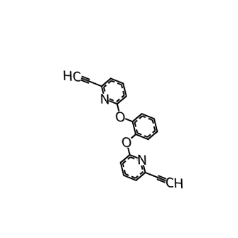 C#Cc1cccc(Oc2ccccc2Oc2cccc(C#C)n2)n1